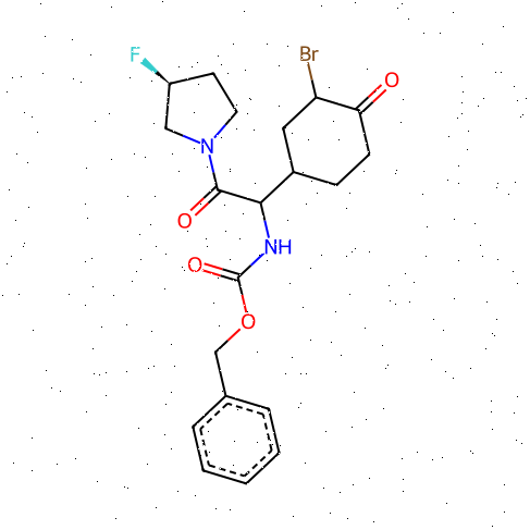 O=C(NC(C(=O)N1CC[C@H](F)C1)C1CCC(=O)C(Br)C1)OCc1ccccc1